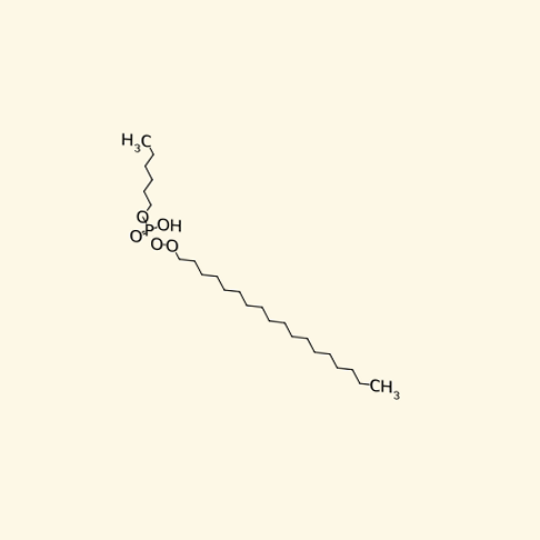 CCCCCCCCCCCCCCCCCCOOP(=O)(O)OCCCCCC